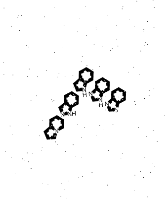 c1ccc2[nH]ccc2c1.c1ccc2[nH]cnc2c1.c1ccc2[nH]ncc2c1.c1ccc2scnc2c1.c1ccn2cccc2c1